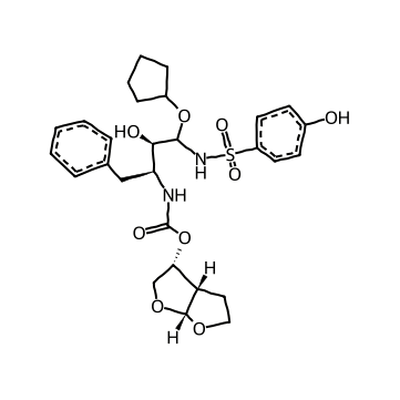 O=C(N[C@@H](Cc1ccccc1)[C@@H](O)C(NS(=O)(=O)c1ccc(O)cc1)OC1CCCC1)O[C@H]1CO[C@H]2OCC[C@H]21